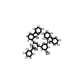 Brc1cc(-c2cc(-c3cccc4c3sc3ccccc34)nc(-c3ccccc3)n2)cc(-n2c3ccccc3c3ccccc32)c1